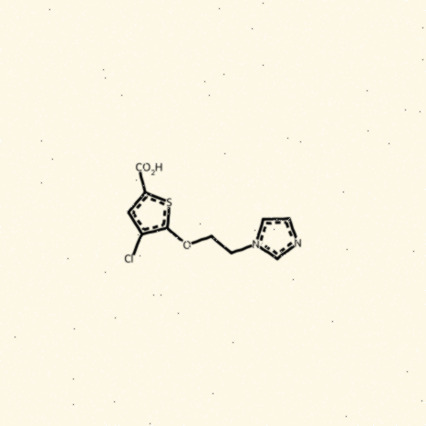 O=C(O)c1cc(Cl)c(OCCn2ccnc2)s1